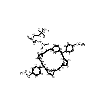 CCCCCCCCCCN(C)C.CCCOc1ccc(-c2c3nc(cc4ccc([nH]4)c(-c4ccc(OCCC)cc4)c4nc(cc5ccc2[nH]5)C=C4)C=C3)cc1.CN(C)CCC(C)(C)N